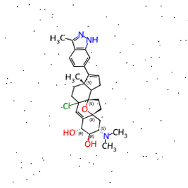 Cc1n[nH]c2cc(C3=CCC4[C@@]56CC[C@]7(C[C@H](N(C)C)[C@@H](O)[C@H](O)C7=CC5(Cl)CC[C@]34C)O6)ccc12